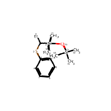 CCC(Sc1ccccc1)[Si](C)(C)O[Si](C)(C)C